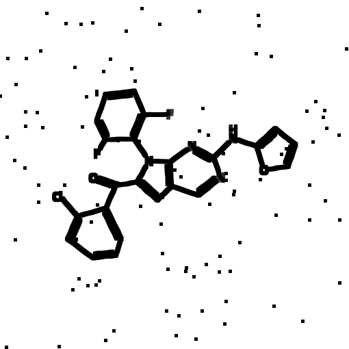 O=C(c1ccccc1Cl)c1cc2cnc(Nc3ccco3)nc2n1-c1c(F)cccc1F